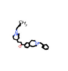 CCCN1CCC(CCC(=O)c2ccc3c(c2)CCN(Cc2ccccc2)CC3)CC1